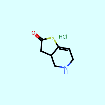 Cl.O=C1CC2CNCC=C2S1